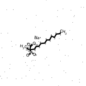 CCCCCCCCCCCCC(CC)(C(=O)[O-])P(=O)=O.[Na+]